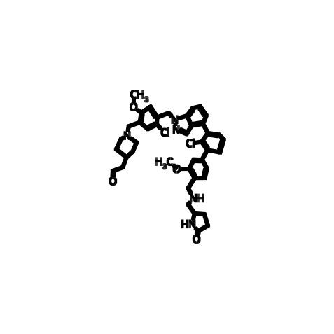 COc1cc(-c2cccc(-c3cccc4c3cnn4Cc3cc(OC)c(CN4CCC(CC=O)CC4)cc3Cl)c2Cl)ccc1CNCC1CCC(=O)N1